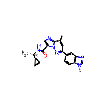 Cc1cc(-c2ccc3c(c2)ncn3C)nn2c(C(=O)N[C@H](C3CC3)C(F)(F)F)cnc12